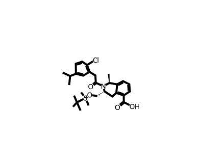 CC(C)c1ccc(Cl)c(CC(=O)N2[C@@H](CO[Si](C)(C)C(C)(C)C)Cc3c(C(=O)O)cccc3[C@@H]2C)c1